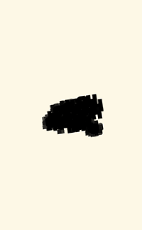 Bc1c(B)c(B)c2c(-c3cccc(-c4cccc(-n5c(CC)nc6ccccc65)c4)c3)c3c(O)c(O)c(O)c(O)c3c(-c3ccc(-c4ccccc4)cc3)c2c1B